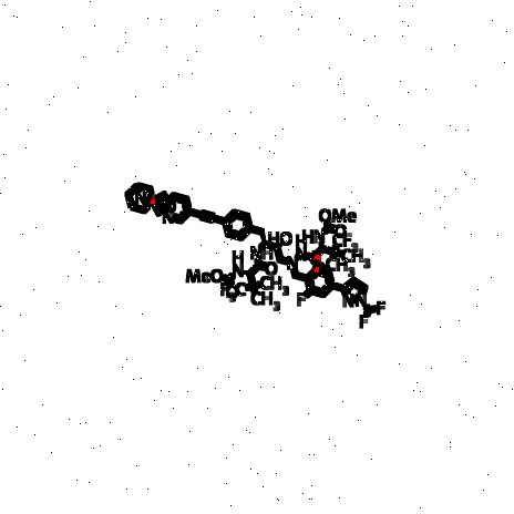 COC(=O)N[C@H](C(=O)N[C@@H](Cc1ccc(C#Cc2ccc(N3CC4CC(C3)N4C3COC3)nc2)cc1)[C@@H](O)CN(Cc1c(F)cc(-c2ccn(C(F)F)n2)cc1F)NC(=O)[C@@H](NC(=O)OC)C(C)(C)C(F)(F)F)C(C)(C)C(F)(F)F